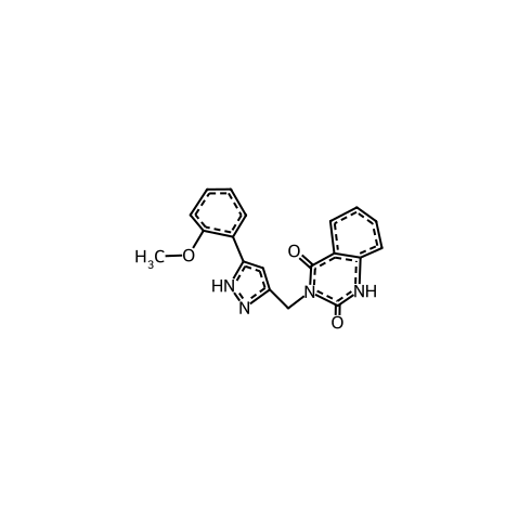 COc1ccccc1-c1cc(Cn2c(=O)[nH]c3ccccc3c2=O)n[nH]1